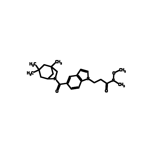 CON(C)C(=O)CCn1ccc2cc(C(=O)N3CC4(C)CC3CC(C)(C)C4)ccc21